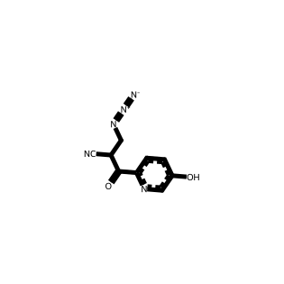 N#CC(CN=[N+]=[N-])C(=O)c1ccc(O)cn1